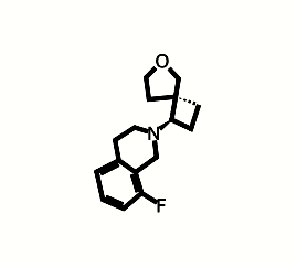 Fc1cccc2c1CN([C@@H]1CC[C@@]13CCOC3)CC2